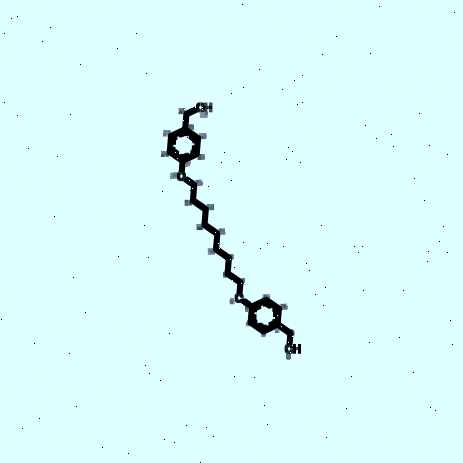 OCc1ccc(OCCCCCCCCCOc2ccc(CO)cc2)cc1